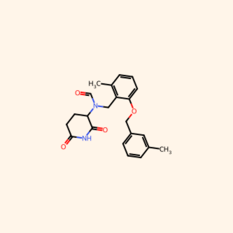 Cc1cccc(COc2cccc(C)c2CN(C=O)C2CCC(=O)NC2=O)c1